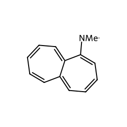 C[N]C1=CC=CC=C2C=CC=CC=C21